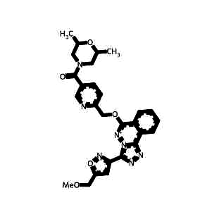 COCc1cc(-c2nnc3c4ccccc4c(OCc4ccc(C(=O)N5CC(C)OC(C)C5)cn4)nn23)no1